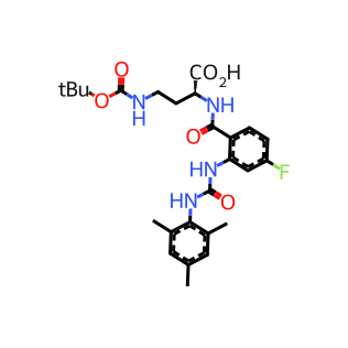 Cc1cc(C)c(NC(=O)Nc2cc(F)ccc2C(=O)N[C@@H](CCNC(=O)OC(C)(C)C)C(=O)O)c(C)c1